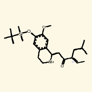 C/C=C(\CC(C)C)C(=O)CC1NCCc2cc(O[Si](C)(C)C(C)(C)C)c(OC)cc21